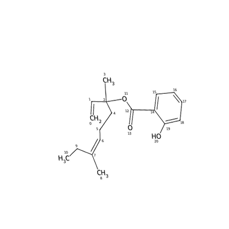 C=CC(C)(CCC=C(C)CC)OC(=O)c1ccccc1O